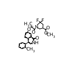 COC(=O)C1CN(C(=O)[C@@H](C)Oc2ccc3c(-c4ccccc4C)c[nH]c(=O)c3c2)CC(F)(F)C1